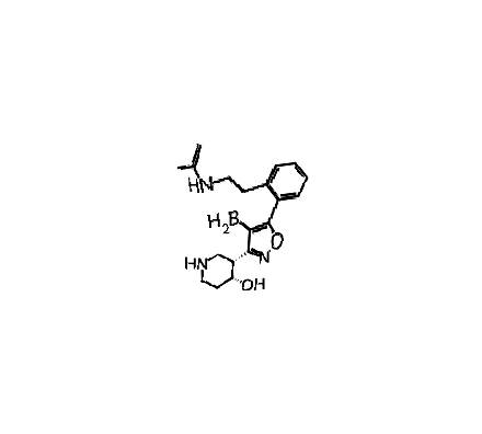 Bc1c([C@H]2CNCC[C@H]2O)noc1-c1ccccc1CCNC(=C)C